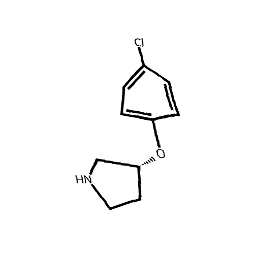 Clc1ccc(O[C@@H]2CCNC2)cc1